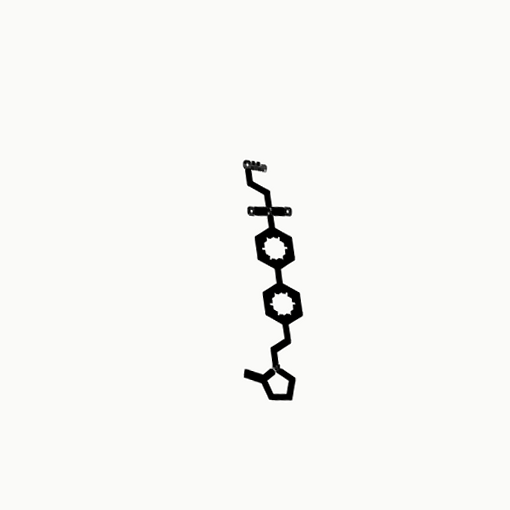 C=C1CCCN1CCc1ccc(-c2ccc(S(=O)(=O)CCOC)cc2)cc1